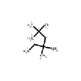 CC(C)C(C)(C)CC(C)(N)CN